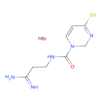 Br.N=C(N)CCNC(=O)N1C=CC(S)=NC1